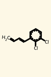 C=C/C=C/c1cccc(Cl)c1Cl